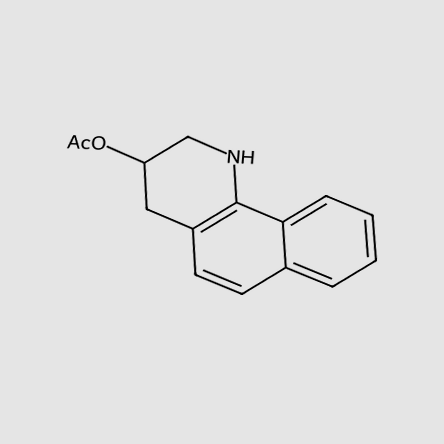 CC(=O)OC1CNc2c(ccc3ccccc23)C1